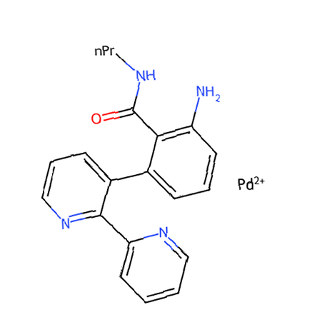 CCCNC(=O)c1c(N)cccc1-c1cccnc1-c1ccccn1.[Pd+2]